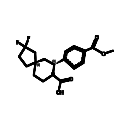 COC(=O)c1ccc([C@H]2C[C@@]3(CCN2C(=O)O)CCC(F)(F)C3)cc1